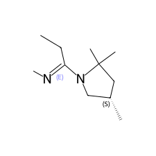 CC/C(=N\C)N1C[C@@H](C)CC1(C)C